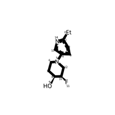 CCc1ccc(N2CC[C@H](O)[C@H](F)C2)cn1